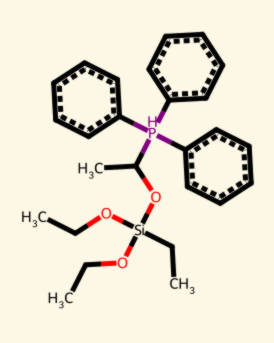 CCO[Si](CC)(OCC)OC(C)[PH](c1ccccc1)(c1ccccc1)c1ccccc1